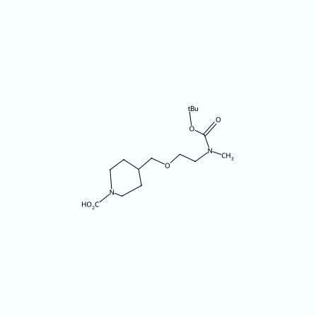 CN(CCOCC1CCN(C(=O)O)CC1)C(=O)OC(C)(C)C